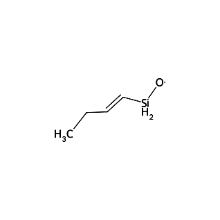 CCC=C[SiH2][O]